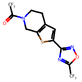 O=C(N1CCc2cc(-c3noc(C(F)(F)F)n3)sc2C1)C(F)(F)F